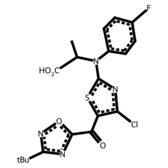 CC(C(=O)O)N(c1ccc(F)cc1)c1nc(Cl)c(C(=O)c2nc(C(C)(C)C)no2)s1